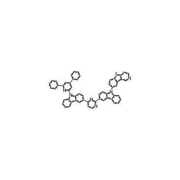 c1ccc(-c2cc(-c3ccccc3)nc(-n3c4ccccc4c4cc(-c5ccnc(-c6ccc7c(c6)c6ccccc6n7-c6ccc7sc8ccncc8c7c6)n5)ccc43)c2)cc1